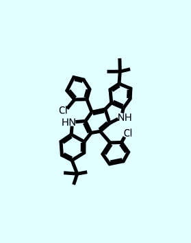 CC(C)(C)c1ccc2[nH]c3c(-c4ccccc4Cl)c4c([nH]c5ccc(C(C)(C)C)cc54)c(-c4ccccc4Cl)c3c2c1